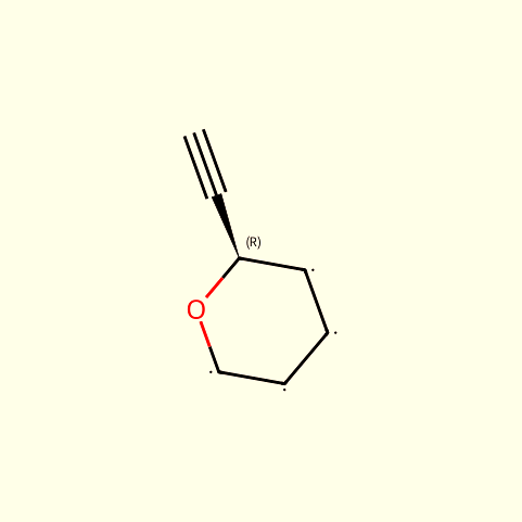 C#C[C@H]1[CH][CH][CH][CH]O1